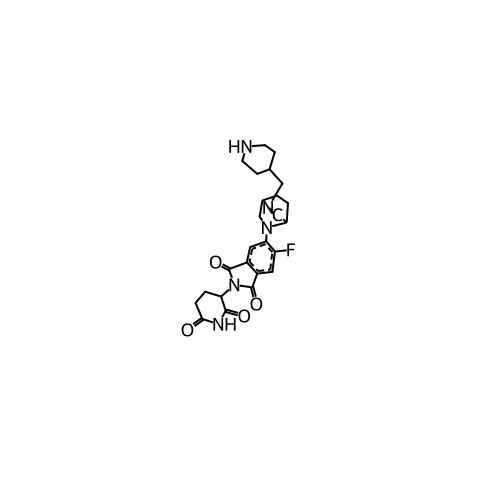 O=C1CCC(N2C(=O)c3cc(F)c(N4CC5CCC4CN5CC4CCNCC4)cc3C2=O)C(=O)N1